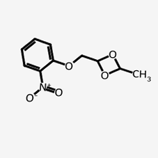 CC1OC(COc2ccccc2[N+](=O)[O-])O1